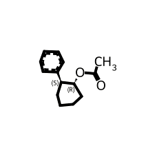 CC(=O)O[C@@H]1CCCC[C@H]1c1ccccc1